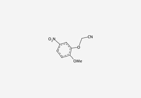 COc1ccc([N+](=O)[O-])cc1OCC#N